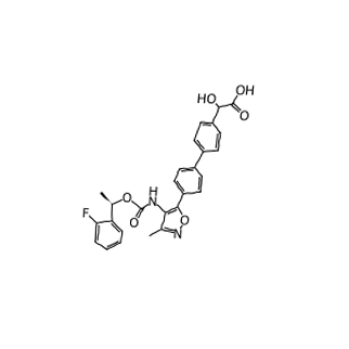 Cc1noc(-c2ccc(-c3ccc(C(O)C(=O)O)cc3)cc2)c1NC(=O)O[C@H](C)c1ccccc1F